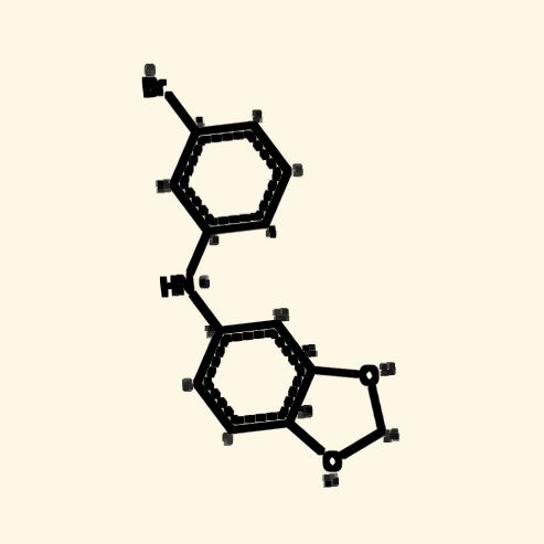 Brc1cccc(Nc2ccc3c(c2)OCO3)c1